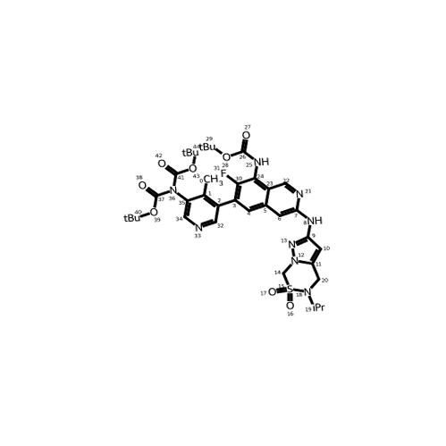 Cc1c(-c2cc3cc(Nc4cc5n(n4)CS(=O)(=O)N(C(C)C)C5)ncc3c(NC(=O)OC(C)(C)C)c2F)cncc1N(C(=O)OC(C)(C)C)C(=O)OC(C)(C)C